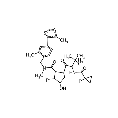 Cc1cc(-c2scnc2C)ccc1CN(C)C(=O)C1C(C(=O)C(NC(=O)C2(F)CC2)C(C)(C)C)C[C@H](O)[C@@H]1F